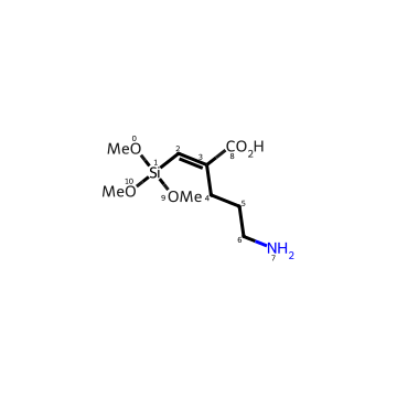 CO[Si](C=C(CCCN)C(=O)O)(OC)OC